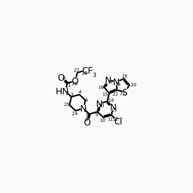 O=C(NC1CCN(C(=O)c2cc(Cl)nc(-c3cnn4ccsc34)n2)CC1)OCC(F)(F)F